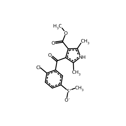 COC(=O)c1c(C)[nH]c(C)c1C(=O)c1cc([S+](C)[O-])ccc1Cl